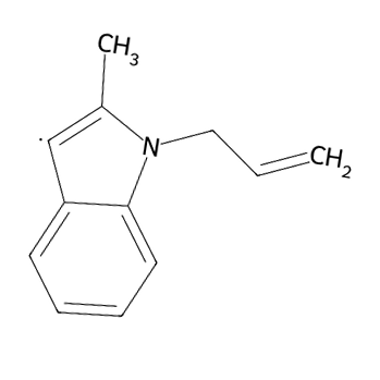 C=CCn1c(C)[c]c2ccccc21